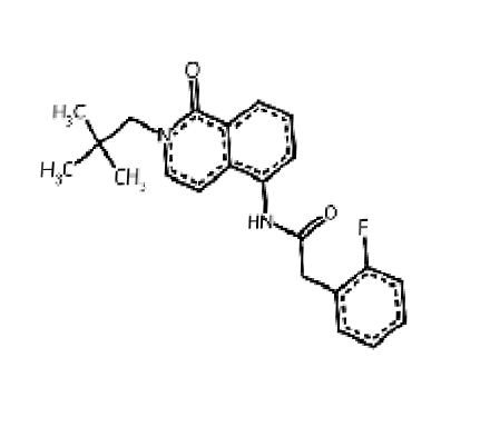 CC(C)(C)Cn1ccc2c(NC(=O)Cc3ccccc3F)cccc2c1=O